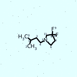 CC(C)CCN1CCC(F)(F)C1